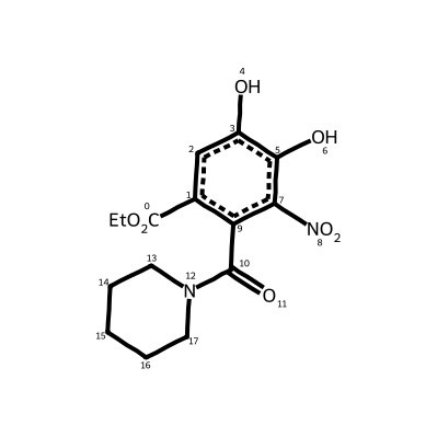 CCOC(=O)c1cc(O)c(O)c([N+](=O)[O-])c1C(=O)N1CCCCC1